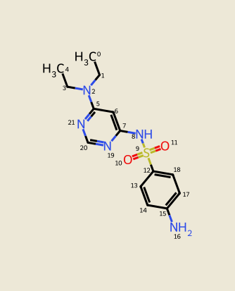 CCN(CC)c1cc(NS(=O)(=O)c2ccc(N)cc2)ncn1